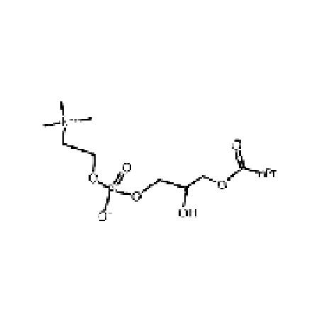 CCCC(=O)OCC(O)COP(=O)([O-])OCC[N+](C)(C)C